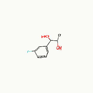 CCC(O)C(O)c1cccc(F)c1